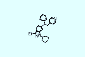 CCc1nn(C2CCCCC2)c2cc(C(Cc3ccncc3)c3ccccc3)ccc12